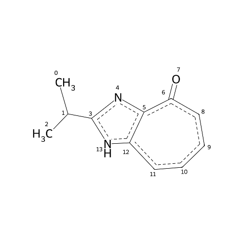 CC(C)c1nc2c(=O)ccccc2[nH]1